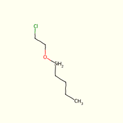 CCCC[SiH2]OCCCl